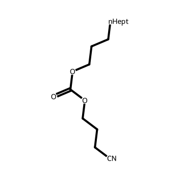 CCCCCCCCCCOC(=O)OCCCC#N